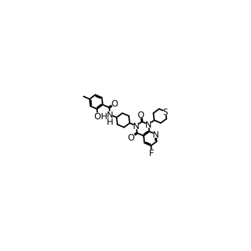 Cc1ccc(C(=O)NC2CCC(n3c(=O)c4cc(F)cnc4n(C4CCSCC4)c3=O)CC2)c(O)c1